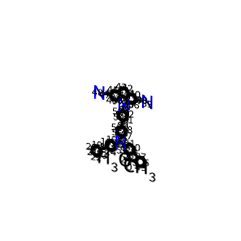 CC1(C)c2ccccc2-c2ccc(N(c3ccc(-c4ccccc4)cc3)c3ccc(-c4ccc(-n5c6cc(C#N)cc7ccc8cc(C#N)cc5c8c76)cc4)cc3)cc21